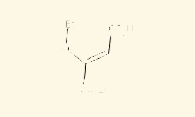 CCOC(=O)C(=CC(=O)O)OCC